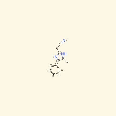 Cc1[nH]c(CC#N)nc1-c1ccccc1